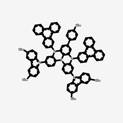 CC(C)(C)c1ccc(-c2cc3c4c(c2)N(c2ccc5c6ccccc6c6ccccc6c5c2)c2cc(-n5c6ccc(C(C)(C)C)cc6c6cc(C(C)(C)C)ccc65)ccc2B4c2ccc(-n4c5ccc(C(C)(C)C)cc5c5cc(C(C)(C)C)ccc54)cc2N3c2ccc3c4ccccc4c4ccccc4c3c2)cc1